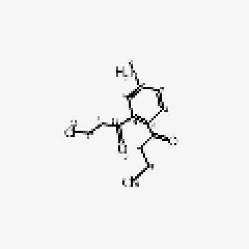 Nc1ccc(C(=O)CCCl)c(C(=O)CCCl)c1